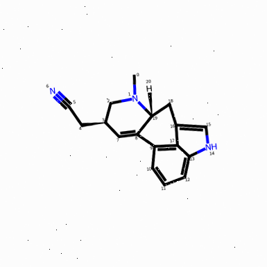 CN1C[C@H](CC#N)C=C2c3cccc4[nH]cc(c34)C[C@H]21